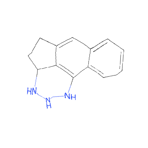 c1ccc2c3c4c(cc2c1)CCC4NNN3